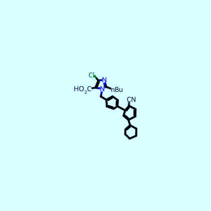 CCCCc1nc(Cl)c(C(=O)O)n1Cc1ccc(-c2cc(C3=CCCCC3)ccc2C#N)cc1